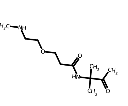 CNCCOCCC(=O)NC(C)(C)C(C)=O